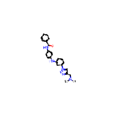 CCN(CC)Cc1cn(-c2cccc(Nc3ccc(NC(=O)c4ccccc4)cc3)c2)nn1